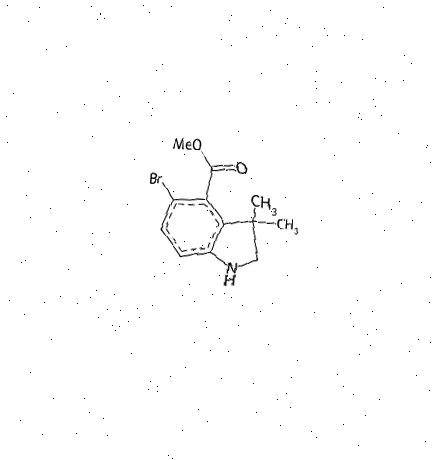 COC(=O)c1c(Br)ccc2c1C(C)(C)CN2